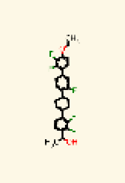 CCOc1ccc(-c2ccc(C3CC=C(c4ccc(C(C)O)c(F)c4F)CC3)c(F)c2)c(F)c1F